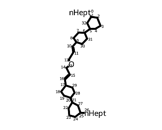 CCCCCCCC1CCCC(C2CCC(/C=C/COC/C=C/C3CCC(C4CCCC(CCCCCCC)C4)CC3)CC2)C1